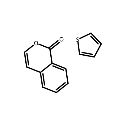 O=c1occc2ccccc12.c1ccsc1